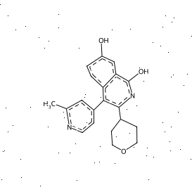 Cc1cc(-c2c(C3CCOCC3)nc(O)c3cc(O)ccc23)ccn1